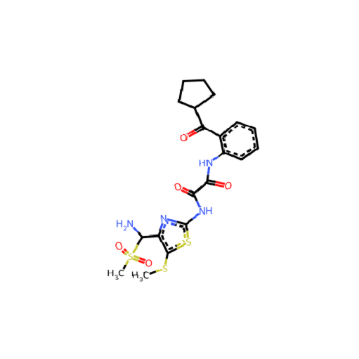 CSc1sc(NC(=O)C(=O)Nc2ccccc2C(=O)C2CCCC2)nc1C(N)S(C)(=O)=O